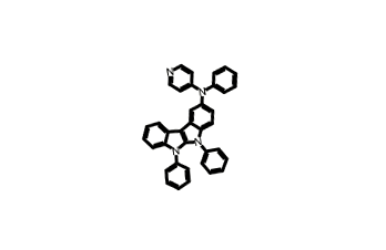 c1ccc(N(c2ccncc2)c2ccc3c(c2)c2c4ccccc4n(-c4ccccc4)c2n3-c2ccccc2)cc1